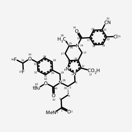 CNC(=O)CC[C@@H](Cn1nc2c(c1C(=O)O)CN(C(=O)c1ccc(Cl)c(C#N)c1)[C@H](C)C2)N(Cc1ccc(OC(F)F)cc1)C(=O)OC(C)(C)C